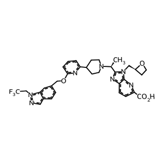 C[C@@H](c1nc2ccc(C(=O)O)nc2n1C[C@@H]1CCO1)N1CCC(c2cccc(OCc3ccc4cnn(CC(F)(F)F)c4c3)n2)CC1